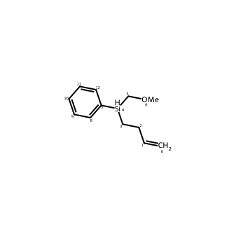 C=CCC[SiH](COC)c1ccccc1